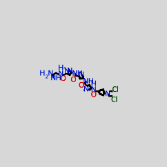 Cn1cc(NC(=O)c2ccc(N(CCCl)CCCl)cc2)cc1C(=O)Nc1cc(C(=O)Nc2cc(C(=O)NCCC(=N)N)n(C)n2)n(C)c1